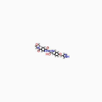 O=C(NCC(O)[C@@H]1Cc2ccc(OCc3cn[nH]c3)cc2CN1)c1ccc(C(=O)N2CCOCC2)cc1